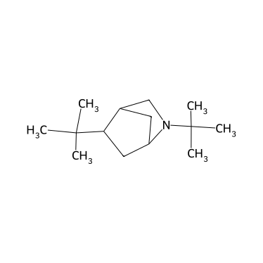 CC(C)(C)C1CC2CC1CN2C(C)(C)C